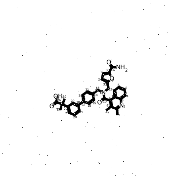 Cc1nc2ccccc2c(C(=O)N(Cc2ccc(-c3cccc(C(C)(C)C(=O)O)c3)cc2)Cc2ccc(C(N)=O)o2)c1C